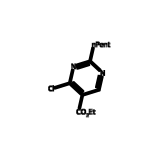 CCCCCc1ncc(C(=O)OCC)c(Cl)n1